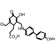 COc1ccc(-c2ccc(NCC3=C(O)C(=O)C=C(CO)C3CCC(=O)O)cc2)cc1